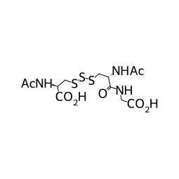 CC(=O)N[C@@H](CSSSC[C@H](NC(C)=O)C(=O)NCC(=O)O)C(=O)O